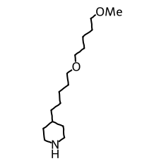 COCCCCCOCCCCCC1CCNCC1